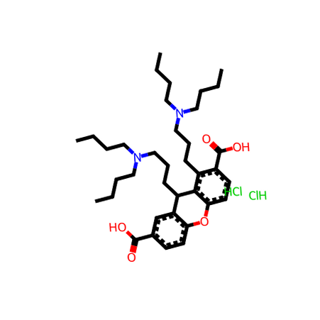 CCCCN(CCCC)CCCc1c(C(=O)O)ccc2c1C(CCCN(CCCC)CCCC)c1cc(C(=O)O)ccc1O2.Cl.Cl